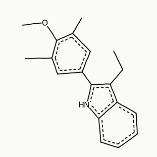 CCc1c(-c2cc(C)c(OC)c(C)c2)[nH]c2ccccc12